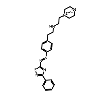 c1ccc(-c2nsc(N=Nc3ccc(CCNCC[N+]45CCN(CC4)CC5)cc3)n2)cc1